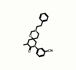 CC1CC2(CCN(CCc3ccccc3)CO2)CN(c2cccc(C#N)c2)C1=O